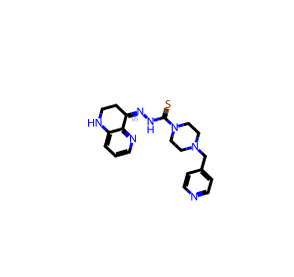 S=C(N/N=C1/CCNc2cccnc21)N1CCN(Cc2ccncc2)CC1